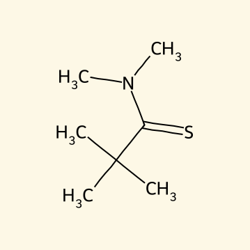 CN(C)C(=S)C(C)(C)C